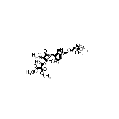 CNc1c(/N=C(\S)C(C(=O)OC)C(=O)OC)n(C)n(Cc2cccc3c2cnn3COCC[Si](C)(C)C)c1=O